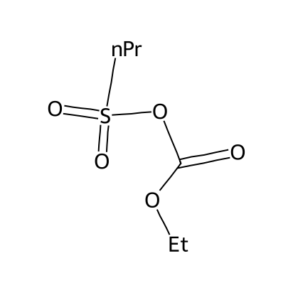 CCCS(=O)(=O)OC(=O)OCC